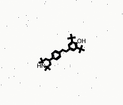 CC1(C)CC(c2ccc(CCc3cc(C(C)(C)C)c(O)c(C(C)(C)C)c3)cc2)CC(C)(C)N1